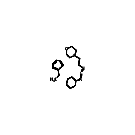 C(=NCCN1CCOCC1)=NC1CCCCC1.CCc1ccccc1